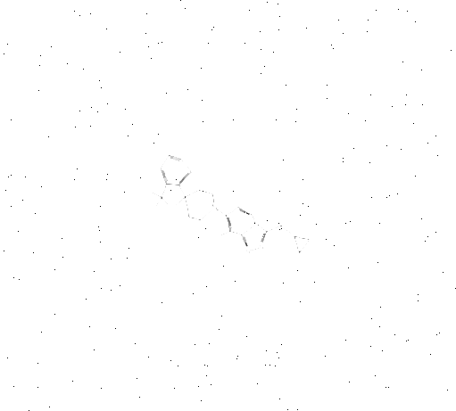 Cc1c(N2CCC3(CC2)OC(F)(F)c2ccccc23)ccn2c(CC3CC3)nnc12